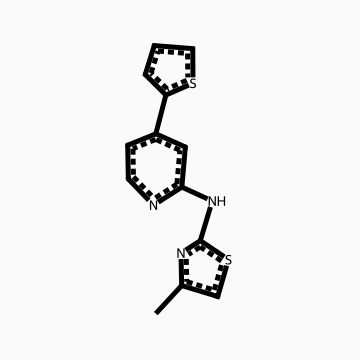 Cc1csc(Nc2cc(-c3cccs3)ccn2)n1